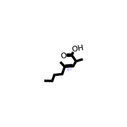 CCCC/C(C)=C/C(C)C(=O)O